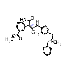 COC(=O)c1ccc2c(c1)/C(=C(\C)Nc1ccc(CN(C)Cc3ccccc3)cc1)C(=O)N2